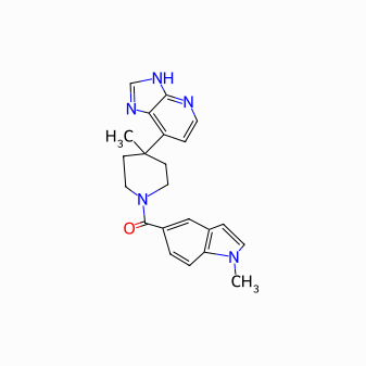 Cn1ccc2cc(C(=O)N3CCC(C)(c4ccnc5[nH]cnc45)CC3)ccc21